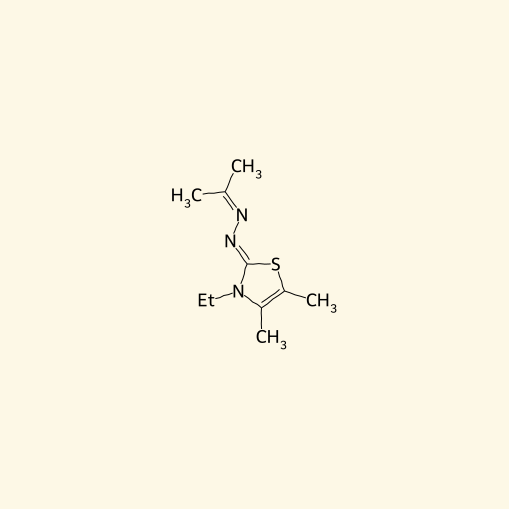 CCn1c(C)c(C)sc1=NN=C(C)C